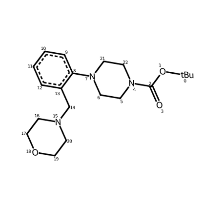 CC(C)(C)OC(=O)N1CCN(c2ccccc2CN2CCOCC2)CC1